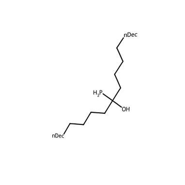 CCCCCCCCCCCCCCC(O)(P)CCCCCCCCCCCCCC